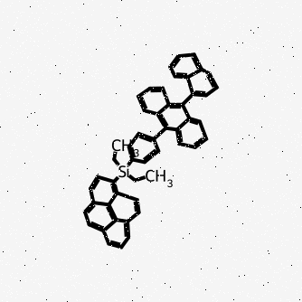 CC[Si](CC)(c1ccc(-c2c3ccccc3c(-c3cccc4ccccc34)c3ccccc23)cc1)c1ccc2ccc3cccc4ccc1c2c34